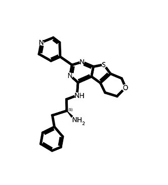 N[C@H](CNc1nc(-c2ccncc2)nc2sc3c(c12)CCOC3)Cc1ccccc1